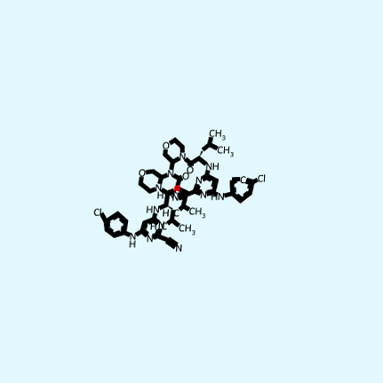 CC(C)C[C@H](Nc1cc(Nc2ccc(Cl)cc2)nc(C#N)n1)C(=O)N1CCOCC1N(C(=O)[C@@H](N)CC(C)C)C1COCCN1C(=O)[C@H](CC(C)C)Nc1cc(Nc2ccc(Cl)cc2)nc(C#N)n1